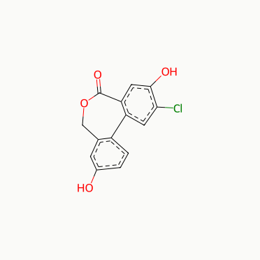 O=C1OCc2cc(O)ccc2-c2cc(Cl)c(O)cc21